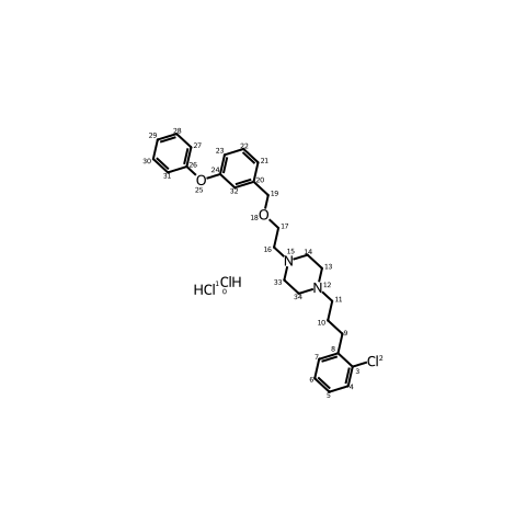 Cl.Cl.Clc1ccccc1CCCN1CCN(CCOCc2cccc(Oc3ccccc3)c2)CC1